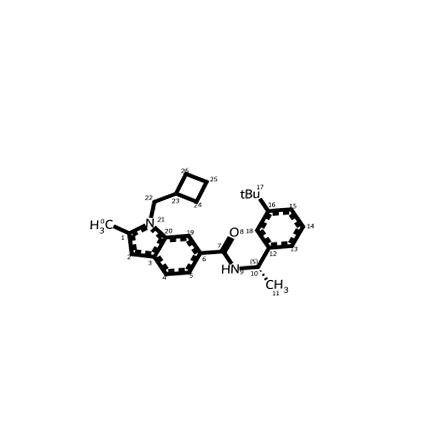 Cc1cc2ccc(C(=O)N[C@@H](C)c3cccc(C(C)(C)C)c3)cc2n1CC1CCC1